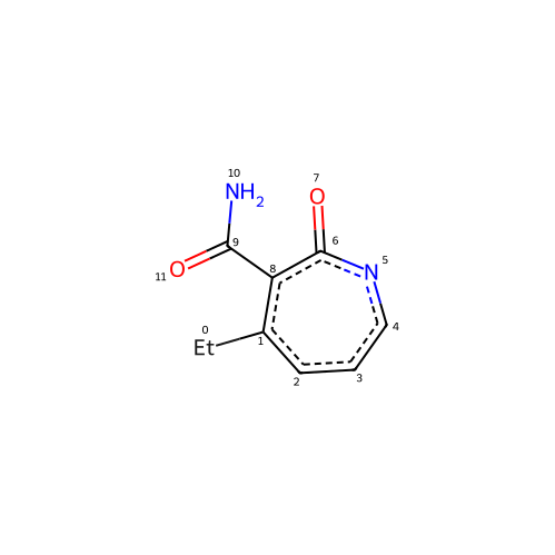 CCc1cccnc(=O)c1C(N)=O